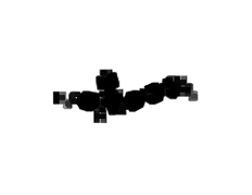 CCN(CC)C1CCN(c2ccc(-n3ncc4c(Nc5ccc(C)cc5)nc(-c5ccncc5)nc43)cc2)CC1